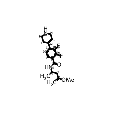 C=C(CC(C)NC(=O)c1ccc(C2=CCNCC2)c(F)c1F)OC